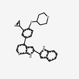 C1=NC1c1cc(-c2ccnc3[nH]c(-c4cc5ccccc5[nH]4)cc23)ccc1OC1CCOCC1